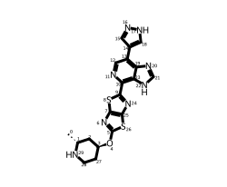 C[C@@H]1C[C@@H](Oc2nc3sc(-c4ncc(-c5cn[nH]c5)c5nc[nH]c45)nc3s2)CCN1